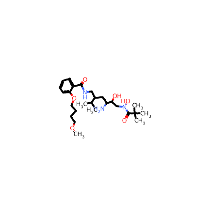 COCCCCOc1ccccc1C(=O)NCC(CC(N)C(O)CN(O)C(=O)C(C)(C)C)C(C)C